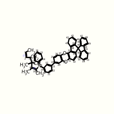 C=C(/C=C\C)C(C)(C)/C(C)=C(/C)N(c1ccccc1)c1cccc(-c2ccc3c(c2)Oc2ccc4c(c2O3)C2=C(C=CCC2)C42c3ccccc3-c3ccccc32)c1